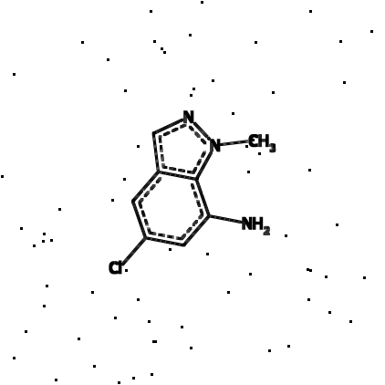 Cn1ncc2cc(Cl)cc(N)c21